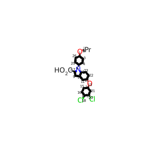 CC(C)Oc1ccc(-n2c(C(=O)O)cc3cc(Oc4ccc(Cl)c(Cl)c4)ccc32)cc1